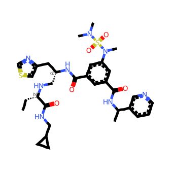 CC[C@H](NC[C@H](Cc1cscn1)NC(=O)c1cc(C(=O)NC(C)c2cccnc2)cc(N(C)S(=O)(=O)N(C)C)c1)C(=O)NCC1CC1